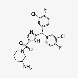 NC1CCCN(S(=O)(=O)c2cnc(C(c3ccc(F)c(Cl)c3)c3ccc(F)c(Cl)c3)[nH]2)C1